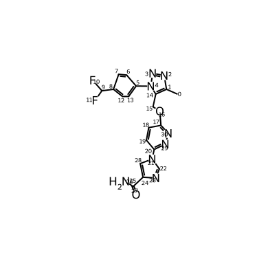 Cc1nnn(-c2ccc(C(F)F)cc2)c1COc1ccc(-n2cnc(C(N)=O)c2)nn1